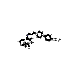 CC1=C(/N=C\CCN2CCN(c3ccc(C(=O)O)cc3)CC2)N2CCSC[C@H]2C(=O)N1